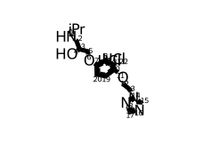 CC(C)NCC(O)COc1ccc(OCCn2cncn2)cc1.Cl.Cl